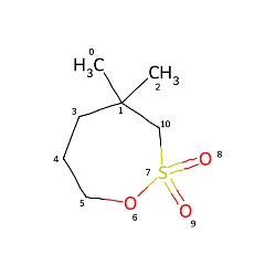 CC1(C)CCCOS(=O)(=O)C1